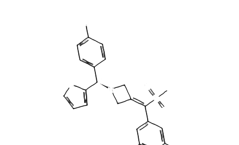 CS(=O)(=O)C(=C1CN([C@H](c2ccc(Cl)cc2)c2cccs2)C1)c1cc(F)cc(F)c1